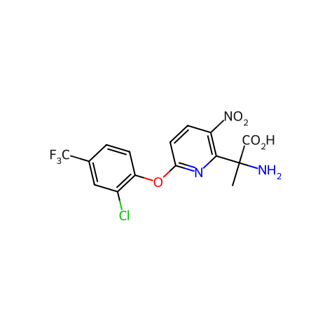 CC(N)(C(=O)O)c1nc(Oc2ccc(C(F)(F)F)cc2Cl)ccc1[N+](=O)[O-]